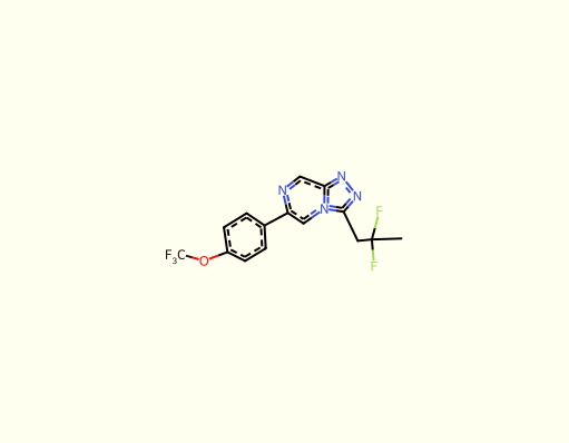 CC(F)(F)Cc1nnc2cnc(-c3ccc(OC(F)(F)F)cc3)cn12